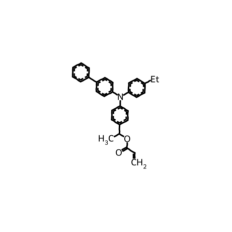 C=CC(=O)OC(C)c1ccc(N(c2ccc(CC)cc2)c2ccc(-c3ccccc3)cc2)cc1